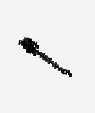 CCCCCCCCCCCCCCCCCCCCCC(=O)OC(CC)C1C(=O)NCCCN=C1C